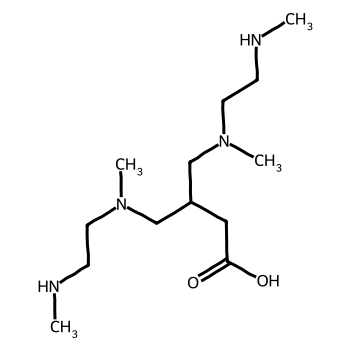 CNCCN(C)CC(CC(=O)O)CN(C)CCNC